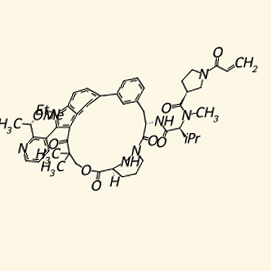 C=CC(=O)N1CC[C@H](C(=O)N(C)[C@H](C(=O)N[C@H]2Cc3cccc(c3)-c3ccc4c(c3)c(c(-c3cccnc3[C@H](C)OC)n4CC)C(=O)C(C)(C)COC(=O)[C@@H]3CCCN(N3)C2=O)C(C)C)C1